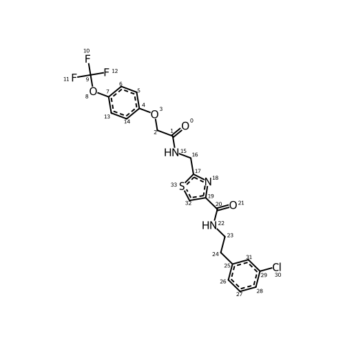 O=C(COc1ccc(OC(F)(F)F)cc1)NCc1nc(C(=O)NCCc2cccc(Cl)c2)cs1